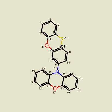 c1ccc2c(c1)Oc1cc(N3c4ccccc4Oc4ccccc43)ccc1S2